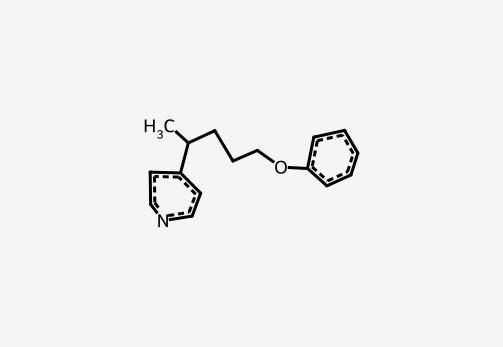 CC(CCCOc1ccccc1)c1ccncc1